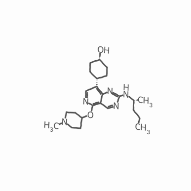 CCC[C@@H](C)Nc1ncc2c(OC3CCN(C)CC3)ncc([C@H]3CC[C@H](O)CC3)c2n1